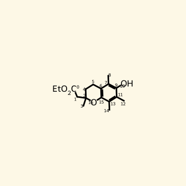 CCOC(=O)CC1(C)CCc2c(C)c(O)c(C)c(C)c2O1